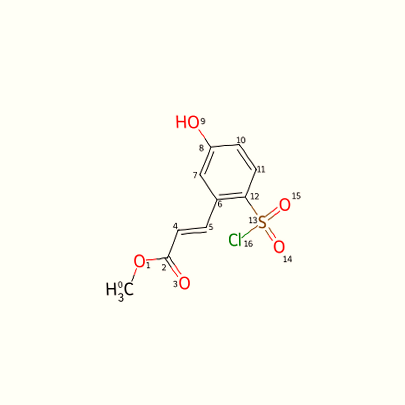 COC(=O)C=Cc1cc(O)ccc1S(=O)(=O)Cl